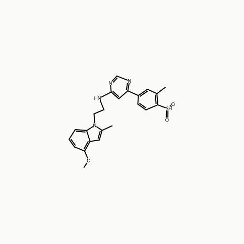 COc1cccc2c1cc(C)n2CCNc1cc(-c2ccc([SH](=O)=O)c(C)c2)ncn1